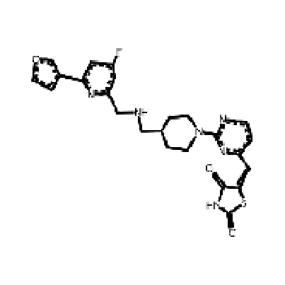 O=C1NC(=O)/C(=C\c2ccnc(N3CCC(CNCc4cc(F)cc(-c5ccoc5)n4)CC3)n2)S1